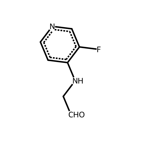 O=CCNc1ccncc1F